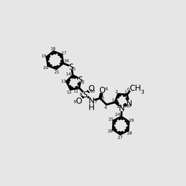 Cc1cc(CC(=O)NS(=O)(=O)c2ccc(Sc3ccccc3)s2)n(-c2ccccc2)n1